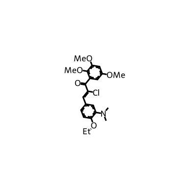 CCOc1ccc(C=C(Cl)C(=O)c2cc(OC)cc(OC)c2OC)cc1N(C)C